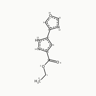 CCOC(=O)c1cc(-c2cocn2)[nH]n1